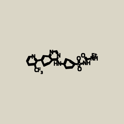 CCNC(=O)NS(=O)(=O)c1ccc(Nc2ncnc3cc(-c4ncccc4C(F)(F)F)ccc23)cc1